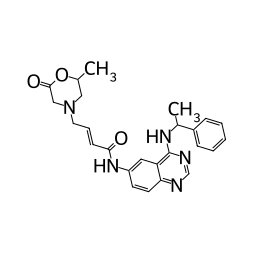 CC1CN(CC=CC(=O)Nc2ccc3ncnc(NC(C)c4ccccc4)c3c2)CC(=O)O1